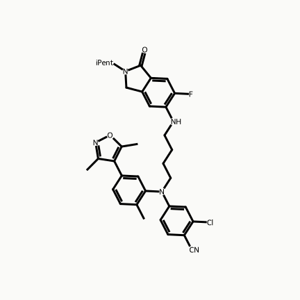 CCCC(C)N1Cc2cc(NCCCCN(c3ccc(C#N)c(Cl)c3)c3cc(-c4c(C)noc4C)ccc3C)c(F)cc2C1=O